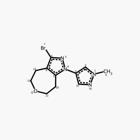 Cn1cc(-n2nc(Br)c3c2CCOCC3)cn1